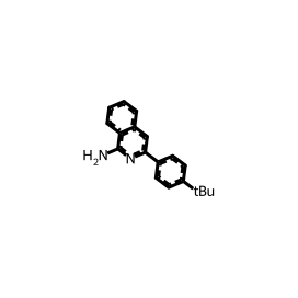 CC(C)(C)c1ccc(-c2cc3ccccc3c(N)n2)cc1